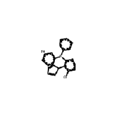 Clc1cccc(P(c2ccccc2)c2ccccc2)c1C1C=CC=C1.[Ni]